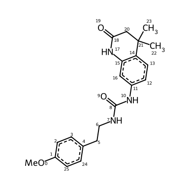 COc1ccc(CCNC(=O)Nc2ccc3c(c2)NC(=O)CC3(C)C)cc1